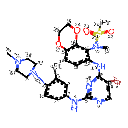 CCc1cc(Nc2ncc(Br)c(Nc3ccc4c(c3N(C)S(=O)(=O)C(C)C)OCCO4)n2)ccc1N1CCN(C)CC1